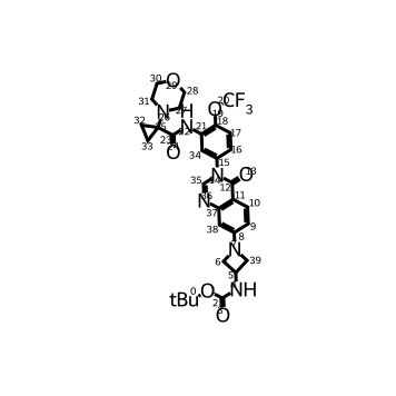 CC(C)(C)OC(=O)NC1CN(c2ccc3c(=O)n(-c4ccc(OC(F)(F)F)c(NC(=O)C5(N6CCOCC6)CC5)c4)cnc3c2)C1